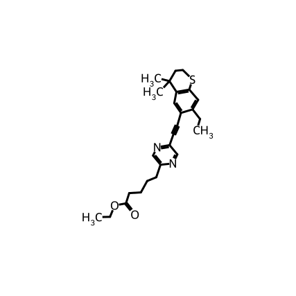 CCOC(=O)CCCCc1cnc(C#Cc2cc3c(cc2CC)SCCC3(C)C)cn1